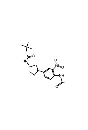 CC(=O)Nc1ccc(N2CC[C@@H](NC(=O)OC(C)(C)C)C2)cc1[N+](=O)[O-]